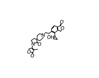 CC1=C(N2CCC3(CCN(C[C@@H](O)c4ccc5c(c4C4CC4)COC5=O)CC3)C2=O)COC1=O